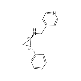 c1ccc([C@@H]2C[C@H]2NCc2ccncc2)cc1